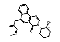 C=C(/C=N\C)Cc1cc2c(=O)n([C@H]3CCCC[C@@H]3O)cnc2c2ccccc12